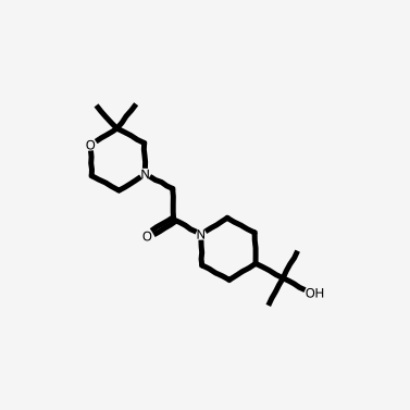 CC1(C)CN(CC(=O)N2CCC(C(C)(C)O)CC2)CCO1